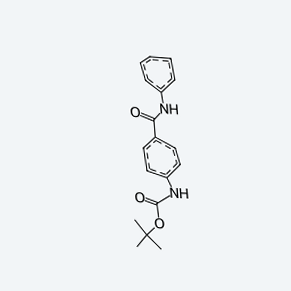 CC(C)(C)OC(=O)Nc1ccc(C(=O)Nc2ccccc2)cc1